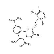 CCN(CC)CC(c1ccc(C(N)=O)cc1-c1cnc(N)c(OCc2c(F)ccc(F)c2Cl)n1)S(=O)(=O)O